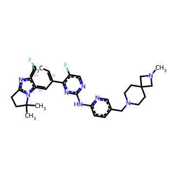 C\C=C(/C=c1\c(=C\F)nc2n1C(C)(C)CC2)c1nc(Nc2ccc(CN3CCC4(CC3)CN(C)C4)cn2)ncc1F